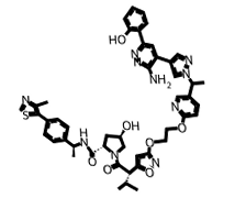 Cc1ncsc1-c1ccc([C@H](C)NC(=O)[C@@H]2C[C@@H](O)CN2C(=O)[C@H](c2cc(OCCOc3ccc(C(C)n4cc(-c5cc(-c6ccccc6O)nnc5N)cn4)cn3)no2)C(C)C)cc1